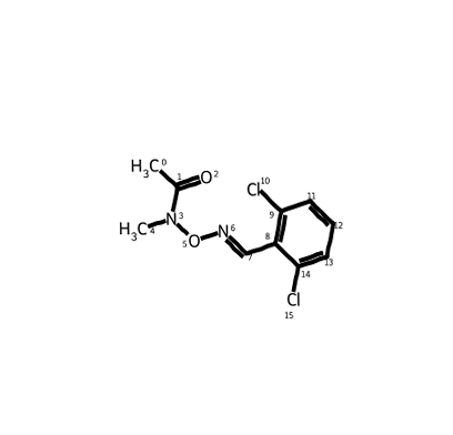 CC(=O)N(C)ON=Cc1c(Cl)cccc1Cl